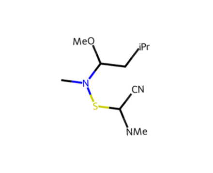 CNC(C#N)SN(C)C(CC(C)C)OC